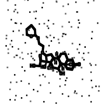 C[C@]12C=CC(=O)C=C1CC[C@@H]1[C@@H]2C(O)C[C@@]2(C)[C@H]1CC(OCCOC1CCCCO1)[C@]2(O)C(=O)CO